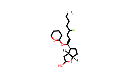 CCCCC(F)CC=C(OC1CCCCO1)[C@H]1CC[C@H]2OC(O)C[C@H]12